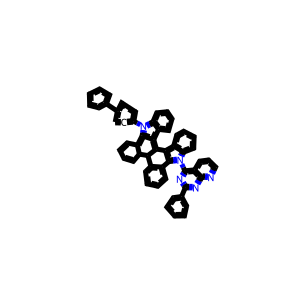 C1=CC2=c3c(c4ccccc4n3-c3ccc(-c4ccccc4)cc3)=C3c4c(n(-c5nc(-c6ccccc6)nc6ncccc56)c5ccccc45)-c4ccccc4C3C2C=C1